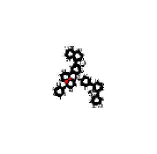 c1ccc(-c2ccc(N(c3ccc(-c4cccc5c4sc4ccccc45)cc3)c3cc4oc5ccc6ccccc6c5c4cc3-c3ccccc3)cc2)cc1